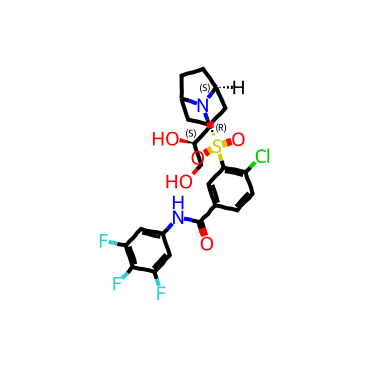 O=C(Nc1cc(F)c(F)c(F)c1)c1ccc(Cl)c(S(=O)(=O)[C@@H]2CC3CC[C@@H](C2)N3C[C@H](O)CO)c1